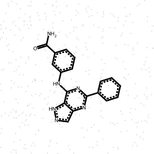 NC(=O)c1cccc(Nc2nc(-c3ccccc3)nc3cn[nH]c23)c1